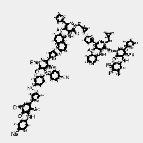 CC(=O)c1c(-c2cccs2)nn(CC2CC2)c(=O)c1Nc1cccc2ncccc12.CC(=O)c1c(-c2cccs2)nn(CC2CC2)c(=O)c1Nc1cccnc1.CCn1nc(-c2cccs2)c(C(C)=O)c(N(c2ccc(C#N)cc2)c2ccc(C#N)cc2)c1=O.CCn1nc(-c2cccs2)c(C(C)=O)c(Nc2cc(F)c(F)c(F)c2)c1=O.CCn1nc(-c2cccs2)c(C(C)=O)c(Nc2ccc(C#N)cc2)c1=O